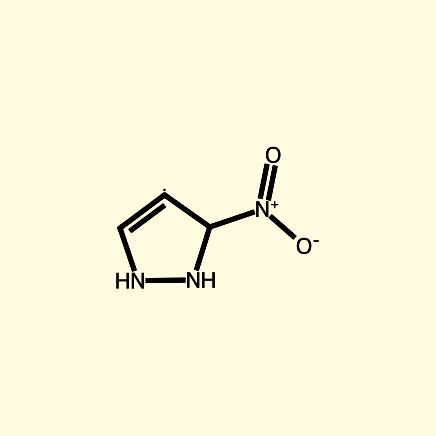 O=[N+]([O-])C1[C]=CNN1